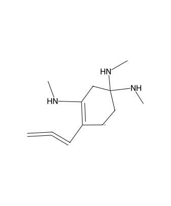 C=C=CC1=C(NC)CC(NC)(NC)C[CH]1